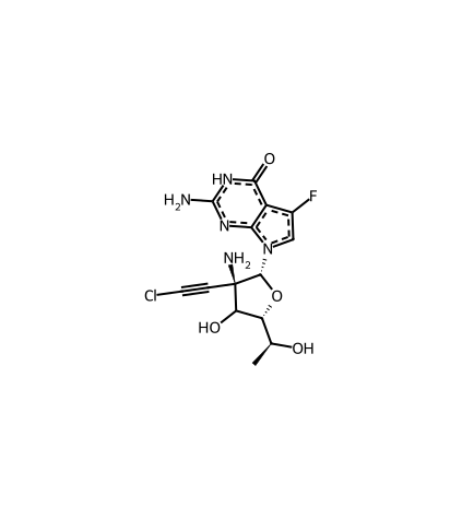 C[C@H](O)[C@H]1O[C@@H](n2cc(F)c3c(=O)[nH]c(N)nc32)[C@@](N)(C#CCl)C1O